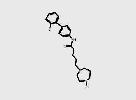 CC(=O)N1CCCN(CCCCC(=O)Nc2ccc(-c3ccccc3Cl)cc2)CC1